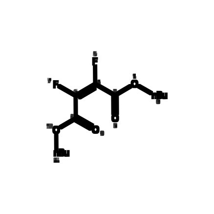 CCCCOC(=O)/C(F)=C(/F)C(=O)OCCCC